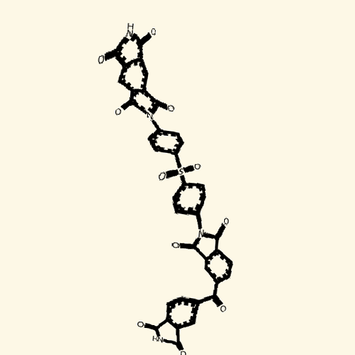 O=C(c1ccc2c(c1)C(=O)NC2=O)c1ccc2c(c1)C(=O)N(c1ccc(S(=O)(=O)c3ccc(-n4c(=O)c5cc6c(=O)[nH]c(=O)c6cc5c4=O)cc3)cc1)C2=O